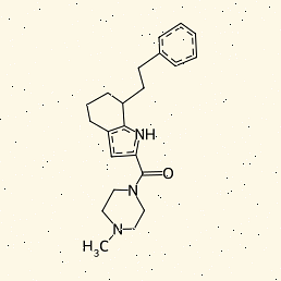 CN1CCN(C(=O)c2cc3c([nH]2)C(CCc2ccccc2)CCC3)CC1